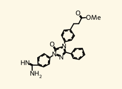 COC(=O)CCc1ccc(-n2c(-c3ccccc3)nn(-c3ccc(C(=N)N)cc3)c2=O)cc1